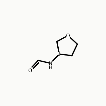 O=CNI1CCOC1